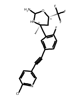 C[C@@]1(c2cc(C#Cc3ccc(Cl)nc3)ccc2F)C[C@@H](C(F)(F)F)OC(N)N1